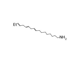 CCC=CCC=CCC=CCCCCCCCCN